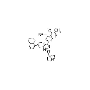 C=C(F)C(=O)N1CCN(c2nc(OCC34CCCN3CCC4)nc3c2CCN(c2cccc4c2CCCC4)C3)C[C@@H]1CC#N